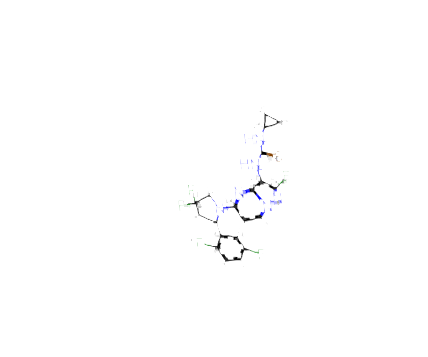 Fc1ccc(F)c([C@H]2CC(F)(F)CN2c2ccn3nc(F)c(NC(=S)NC4CC4)c3n2)c1